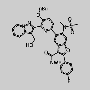 CCCCOc1ccc(-c2cc3c(C(=O)NC)c(-c4ccc(F)cc4)oc3cc2N(C)S(C)(=O)=O)nc1-c1nn2ccccc2c1CO